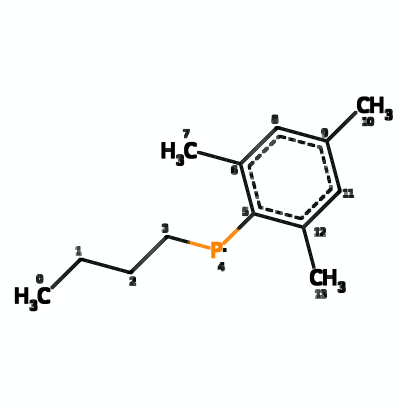 CCCC[P]c1c(C)cc(C)cc1C